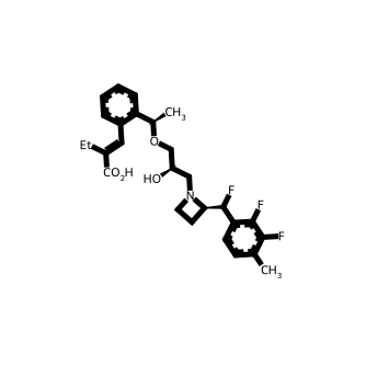 CCC(=Cc1ccccc1[C@@H](C)OC[C@H](O)CN1CC[C@@H]1C(F)c1ccc(C)c(F)c1F)C(=O)O